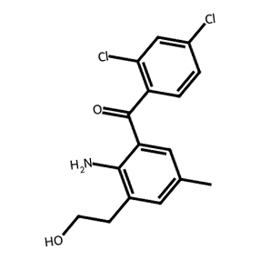 Cc1cc(CCO)c(N)c(C(=O)c2ccc(Cl)cc2Cl)c1